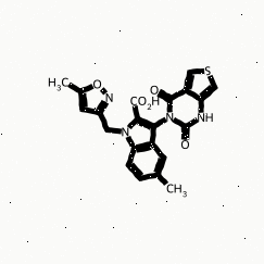 Cc1ccc2c(c1)c(-n1c(=O)[nH]c3cscc3c1=O)c(C(=O)O)n2Cc1cc(C)on1